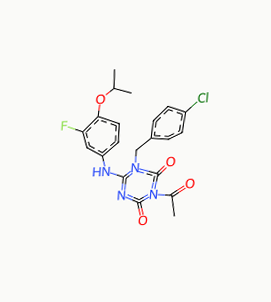 CC(=O)n1c(=O)nc(Nc2ccc(OC(C)C)c(F)c2)n(Cc2ccc(Cl)cc2)c1=O